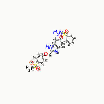 NS(=O)(=O)c1ccccc1-c1ccc2[nH]c(COc3ccc(S(=O)(=O)C(F)(F)F)cc3)nc2c1